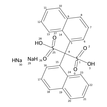 O=S(=O)(O)C(c1cccc2ccccc12)(c1cccc2ccccc12)S(=O)(=O)O.[NaH].[NaH]